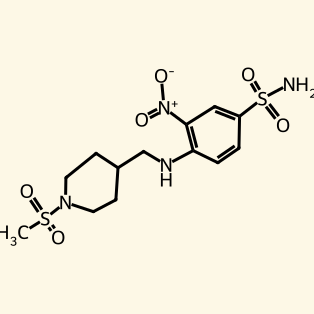 CS(=O)(=O)N1CCC(CNc2ccc(S(N)(=O)=O)cc2[N+](=O)[O-])CC1